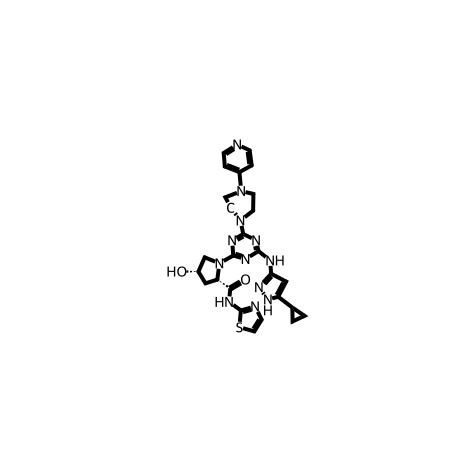 O=C(Nc1nccs1)[C@@H]1C[C@H](O)CN1c1nc(Nc2cc(C3CC3)[nH]n2)nc(N2CCN(c3ccncc3)CC2)n1